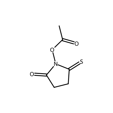 CC(=O)ON1C(=O)CCC1=S